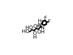 OCC(O)C(O)C(O)[C@@H](O)c1nc2cc(F)c(F)cc2[nH]1